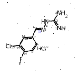 Cl.N=C(N)N/N=C/c1ccc(F)c(Cl)c1